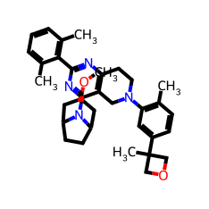 COC1CC2CCC(C1)N2c1nc(-c2c(C)cccc2C)nc2c1CN(c1cc(C3(C)COC3)ccc1C)CC2